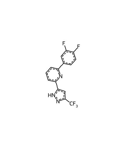 Fc1ccc(-c2cccc(-c3cc(C(F)(F)F)n[nH]3)n2)cc1F